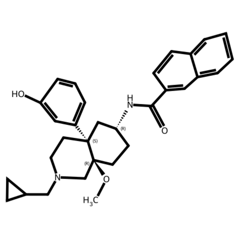 CO[C@]12CC[C@@H](NC(=O)c3ccc4ccccc4c3)C[C@]1(c1cccc(O)c1)CCN(CC1CC1)C2